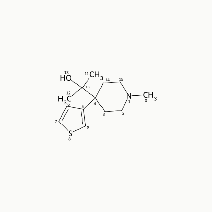 CN1CCC(c2ccsc2)(C(C)(C)O)CC1